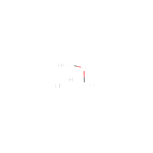 O=S(=O)(O)OS(=O)(=O)O.[KH].[KH]